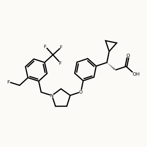 O=C(O)C[C@H](c1cccc(OC2CCN(Cc3cc(C(F)(F)F)ccc3CF)C2)c1)C1CC1